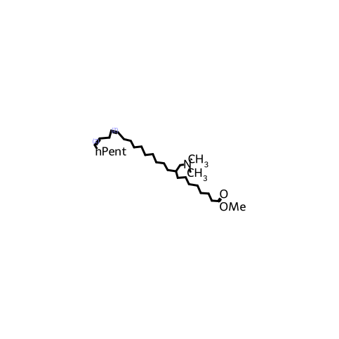 CCCCC/C=C\C/C=C\CCCCCCCCCC(CCCCCCCC(=O)OC)CN(C)C